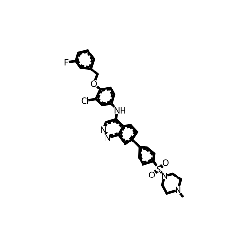 CN1CCN(S(=O)(=O)c2ccc(-c3ccc4c(Nc5ccc(OCc6cccc(F)c6)c(Cl)c5)cnnc4c3)cc2)CC1